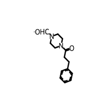 O=[C]N1CCN(C(=O)CCc2ccccc2)CC1